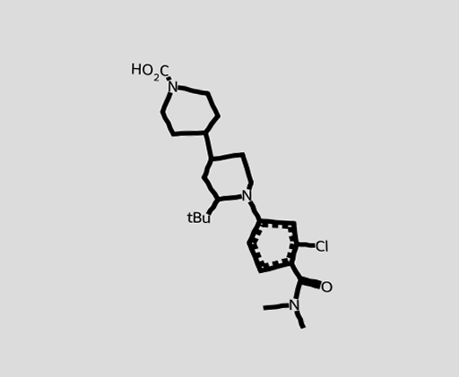 CN(C)C(=O)c1ccc(N2CCC(C3CCN(C(=O)O)CC3)CC2C(C)(C)C)cc1Cl